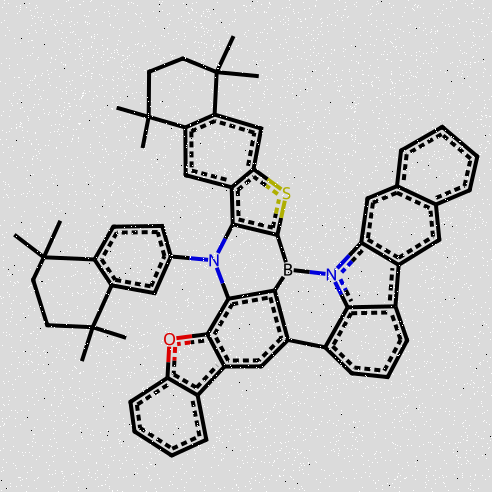 CC1(C)CCC(C)(C)c2cc(N3c4c(sc5cc6c(cc45)C(C)(C)CCC6(C)C)B4c5c(cc6c(oc7ccccc76)c53)-c3cccc5c6cc7ccccc7cc6n4c35)ccc21